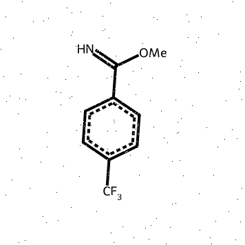 COC(=N)c1ccc(C(F)(F)F)cc1